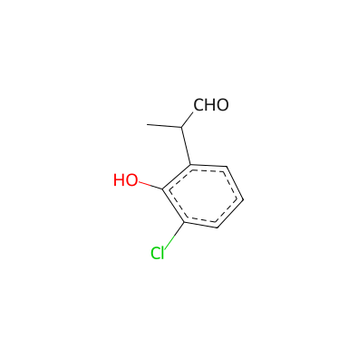 CC(C=O)c1cccc(Cl)c1O